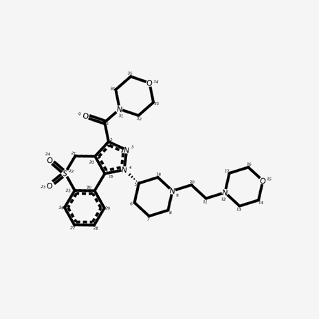 O=C(c1nn([C@H]2CCCN(CCN3CCOCC3)C2)c2c1CS(=O)(=O)c1ccccc1-2)N1CCOCC1